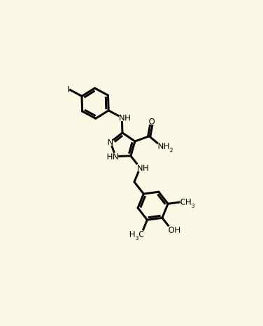 Cc1cc(CNc2[nH]nc(Nc3ccc(I)cc3)c2C(N)=O)cc(C)c1O